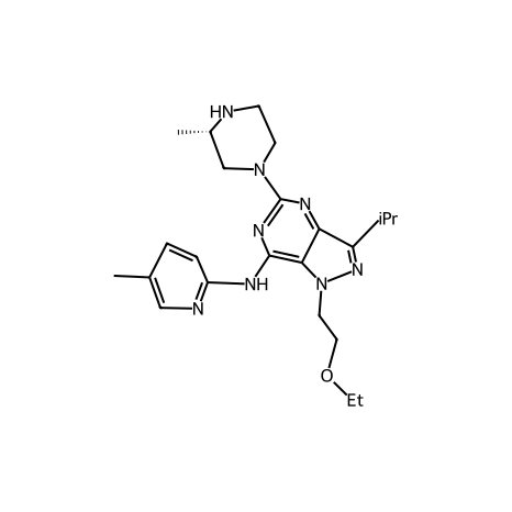 CCOCCn1nc(C(C)C)c2nc(N3CCN[C@@H](C)C3)nc(Nc3ccc(C)cn3)c21